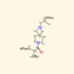 CCCCCCC(C)CN1CC2(CCN(C(=O)C(CCCC)CCCCC)CC2)C1